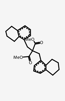 COC(=O)C(Cc1cccc2c1CCCC2)(Cc1cccc2c1CCCC2)C(=O)OC